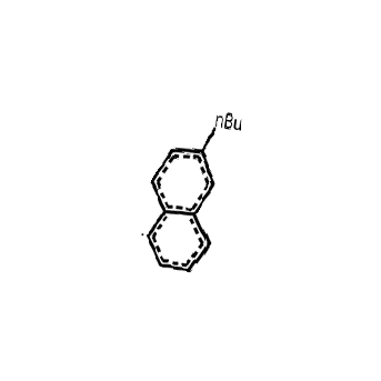 CCCCc1ccc2[c]cccc2c1